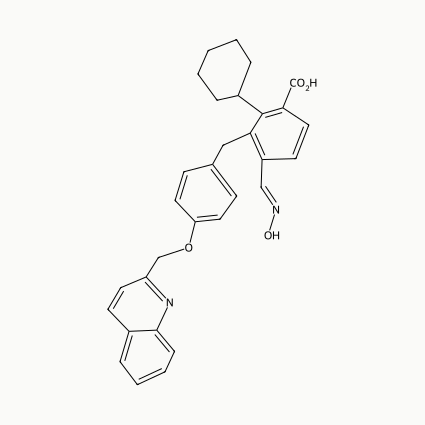 O=C(O)c1ccc(C=NO)c(Cc2ccc(OCc3ccc4ccccc4n3)cc2)c1C1CCCCC1